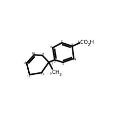 CC1(c2c[c]c(C(=O)O)cc2)CC=CCC1